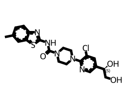 Cc1ccc2nc(NC(=O)N3CCN(c4ncc([C@H](O)CO)cc4Cl)CC3)sc2c1